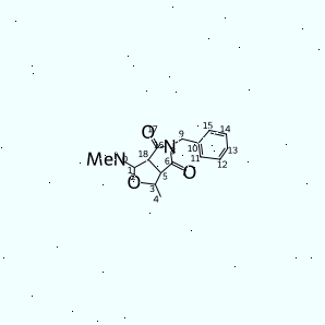 CNC1OC(C)C2C(=O)N(Cc3ccccc3)C(=O)C12